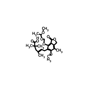 COc1c(C)c2c(c(OCOC(C)OC)c1C/C=C(\C)CC(C)(C)C(=O)O)C(=O)OC2